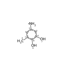 Cc1cc(N)cc(O)c1O